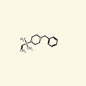 C=CS(C)(C)N1CCN(Cc2ccccc2)CC1